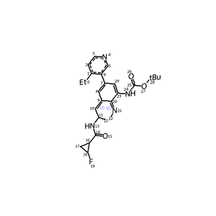 CCc1ccncc1C1=CC(=C/C(C)NC(=O)C2CC2F)/C(=N\C)C(NC(=O)OC(C)(C)C)=C1